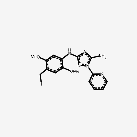 COc1cc(Nc2nc(N)n(-c3ccccn3)n2)c(OC)cc1CI